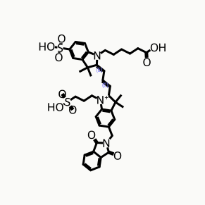 CC1(C)C(/C=C/C=C2/N(CCCCCC(=O)O)c3ccc(S(=O)(=O)O)cc3C2(C)C)=[N+](CCCS(=O)(=O)O)c2ccc(CN3C(=O)c4ccccc4C3=O)cc21